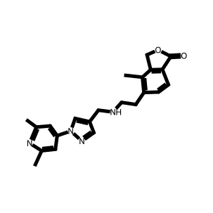 Cc1cc(-n2cc(CNCCc3ccc4c(c3C)COC4=O)cn2)cc(C)n1